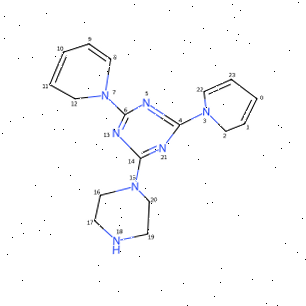 C1=CCN(c2nc(N3C=CC=CC3)nc(N3CCNCC3)n2)C=C1